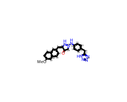 COc1ccc2cc(C=C3NN(Nc4ccc(Cc5nnn[nH]5)cc4)CC3=O)ccc2c1